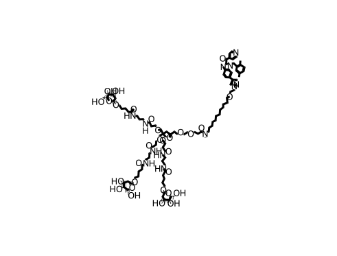 Cc1ccc(C)c(Cn2c(C(=O)c3ccncc3)nc3ccc(-c4cnn(CCOCCCCCCCCCCCCN(C)C(=O)CCOCCOCCC(=O)CC(COCCC(=O)NCCCNC(=O)CCCCO[C@H]5C[C@@H](O)[C@@H](O)[C@@H](CO)O5)(COCCC(=O)NCCCNC(=O)CCCCO[C@H]5C[C@@H](O)[C@@H](O)[C@@H](CO)O5)COCCC(=O)NCCCNC(=O)CCCCO[C@H]5C[C@@H](O)[C@@H](O)[C@@H](CO)O5)c4)cc32)c1